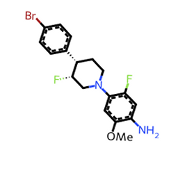 COc1cc(N2CC[C@@H](c3ccc(Br)cc3)[C@@H](F)C2)c(F)cc1N